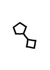 C1C[C](C2CCCC2)C1